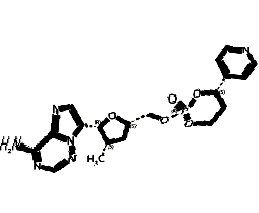 C[C@H]1C[C@@H](CO[P@@]2(=O)OCC[C@@H](c3ccncc3)O2)O[C@H]1c1cnc2c(N)ncnn12